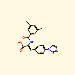 COC(=O)C(=Cc1ccc(-n2ccnn2)cc1)NC(=O)c1cc(C)cc(C)c1